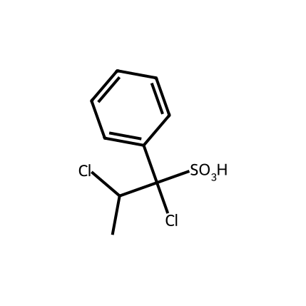 CC(Cl)C(Cl)(c1ccccc1)S(=O)(=O)O